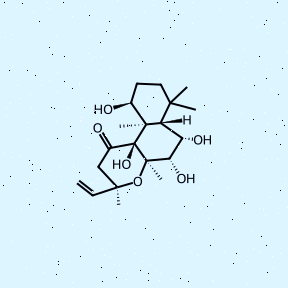 C=C[C@@]1(C)CC(=O)[C@]2(O)[C@@]3(C)[C@@H](O)CCC(C)(C)[C@@H]3[C@H](O)[C@H](O)[C@@]2(C)O1